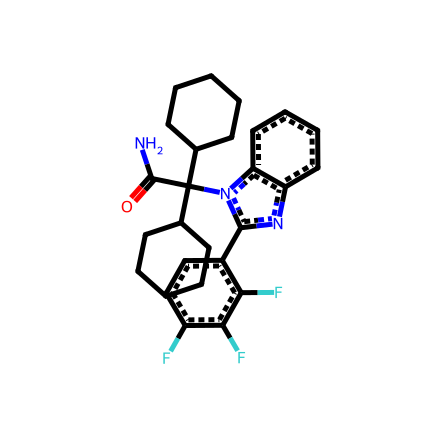 NC(=O)C(C1CCCCC1)(C1CCCCC1)n1c(-c2ccc(F)c(F)c2F)nc2ccccc21